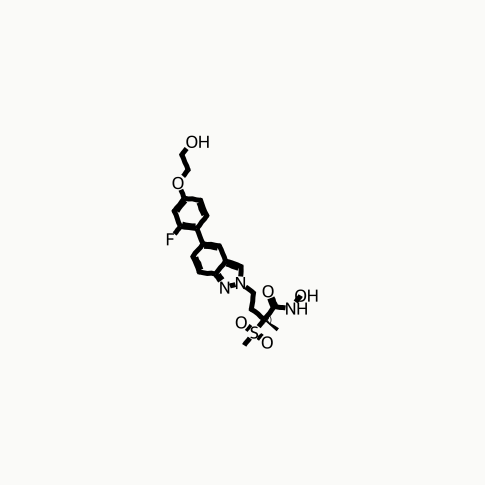 C[C@@](CCn1cc2cc(-c3ccc(OCCO)cc3F)ccc2n1)(C(=O)NO)S(C)(=O)=O